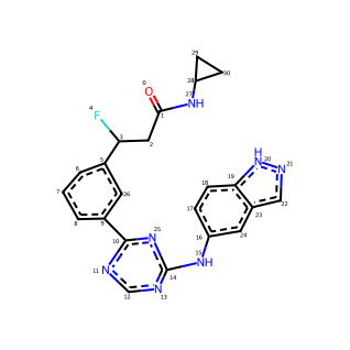 O=C(CC(F)c1cccc(-c2ncnc(Nc3ccc4[nH]ncc4c3)n2)c1)NC1CC1